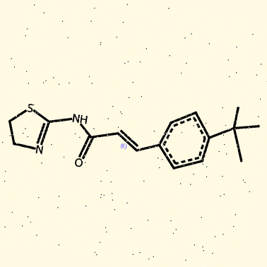 CC(C)(C)c1ccc(/C=C/C(=O)NC2=NCCS2)cc1